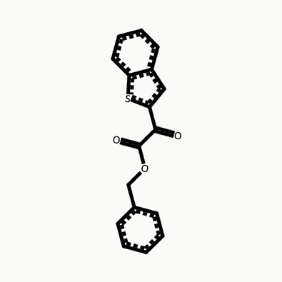 O=C(OCc1ccccc1)C(=O)c1cc2ccccc2s1